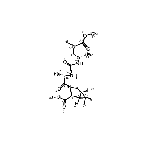 COC(=O)[C@@H]1[C@@H]2[C@H](CN1C(=O)[C@@H](NC(=O)N[C@H](CN(C)C(=O)OC(C)(C)C)C(C)(C)C)C(C)(C)C)C2(C)C